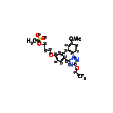 COc1ccc(-n2nc(OCC(F)(F)F)nc2-c2ccc(OCCCOS(C)(=O)=O)cc2)cc1